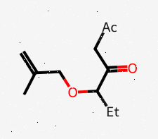 C=C(C)COC(CC)C(=O)CC(C)=O